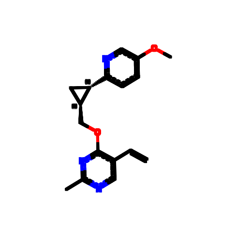 C=Cc1cnc(C)nc1OC[C@H]1C[C@@H]1c1ccc(OC)cn1